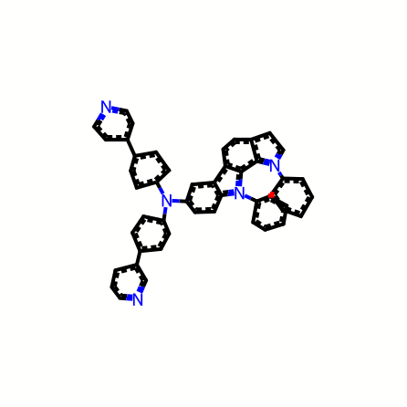 c1ccc(-n2ccc3ccc4c5cc(N(c6ccc(-c7ccncc7)cc6)c6ccc(-c7cccnc7)cc6)ccc5n(-c5ccccc5)c4c32)cc1